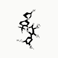 CNc1c(C)c(-c2cc(OC)cc(OC)c2)nn(-c2cc(N3CCC(O)C3)ccc2C(F)(F)F)c1=O